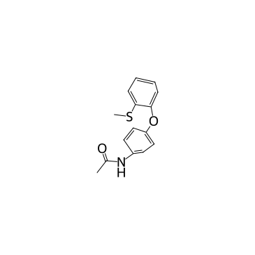 CSc1ccccc1Oc1ccc(NC(C)=O)cc1